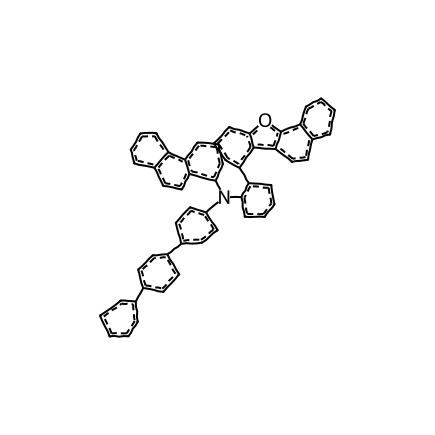 c1ccc(-c2ccc(-c3ccc(N(c4ccccc4-c4cccc5oc6c7ccccc7ccc6c45)c4cccc5c4ccc4ccccc45)cc3)cc2)cc1